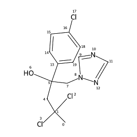 CC(Cl)(Cl)CC(O)(Cn1cncn1)c1ccc(Cl)cc1